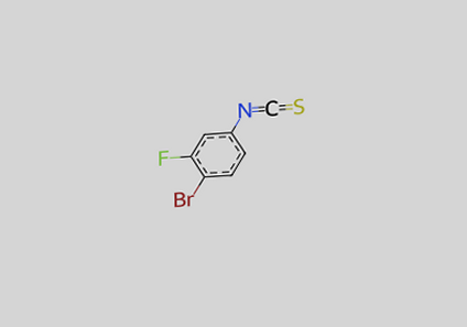 Fc1cc(N=C=S)ccc1Br